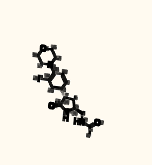 CC(=O)NC[C@@H]1C[C@@H](c2ccc(N3CCOCC3)c(F)c2)C(=O)N1